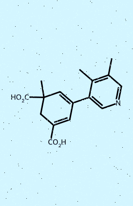 Cc1cncc(C2=CC(C)(C(=O)O)CC(C(=O)O)=C2)c1C